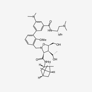 CCC[C@@H](CN(C)C)NC(=O)c1cc(-c2cccc(CN3O[C@@H](CO)[C@@H]([C@H](C)O)[C@H]3C(=O)N[C@H]3C[C@H]4C[C@@H]([C@@H]3C)C4(C)C)c2OC)cc(N(C)C)c1